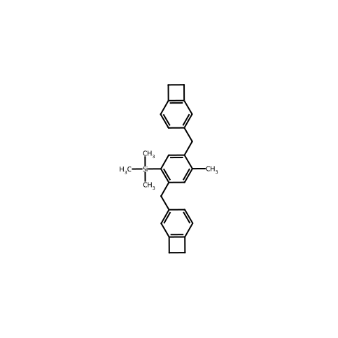 Cc1cc(Cc2ccc3c(c2)CC3)c([Si](C)(C)C)cc1Cc1ccc2c(c1)CC2